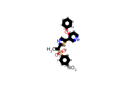 C=C(c1ncc(-c2cnccc2Oc2ccccc2)s1)S(=O)(=O)c1ccc([N+](=O)[O-])cc1